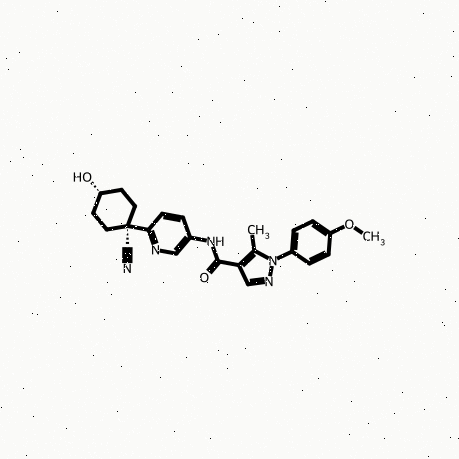 COc1ccc(-n2ncc(C(=O)Nc3ccc([C@]4(C#N)CC[C@@H](O)CC4)nc3)c2C)cc1